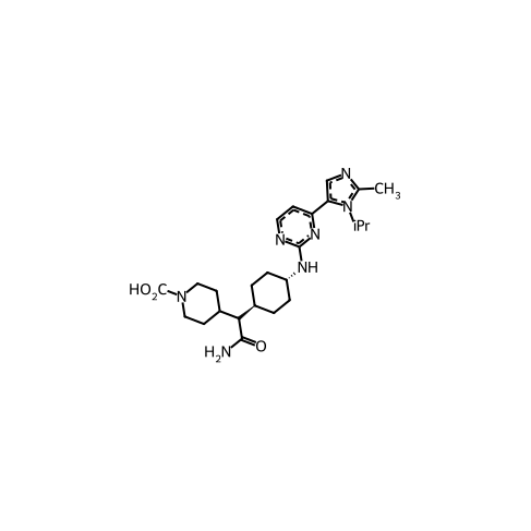 Cc1ncc(-c2ccnc(N[C@H]3CC[C@H](C(C(N)=O)C4CCN(C(=O)O)CC4)CC3)n2)n1C(C)C